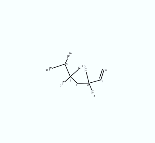 C=CC(F)(F)CC(F)(F)C(F)F